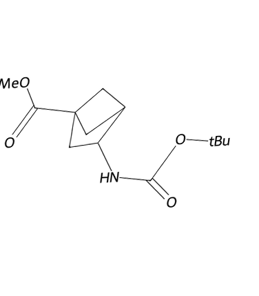 COC(=O)C12CC(C1)C(NC(=O)OC(C)(C)C)C2